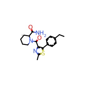 CCc1ccc(-c2sc(C)nc2C(=O)N2CCC[CH]C2C(N)=O)cc1